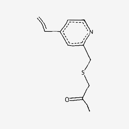 C=Cc1ccnc(CSCC(C)=O)c1